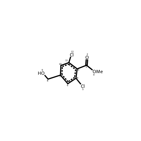 COC(=O)c1c(Cl)cc(CO)cc1Cl